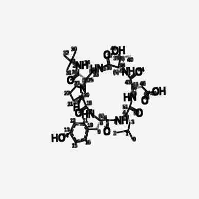 CC(C)C[C@@H]1NC(=O)[C@H](Cc2ccc(O)cc2)NC(=O)[C@@H]2CCCN2[C@H](C(=O)NC(C)(C)C)[C@H](C)NC(=O)[C@H]([C@@H](C)O)NC(=O)[C@H](CC(=O)O)NC1=O